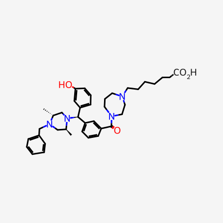 C[C@@H]1CN([C@@H](c2cccc(O)c2)c2cccc(C(=O)N3CCCN(CCCCCCC(=O)O)CC3)c2)[C@@H](C)CN1Cc1ccccc1